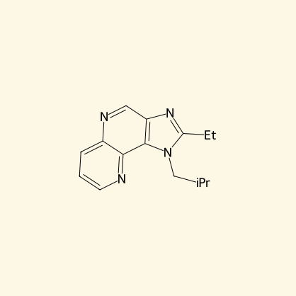 CCc1nc2cnc3cccnc3c2n1CC(C)C